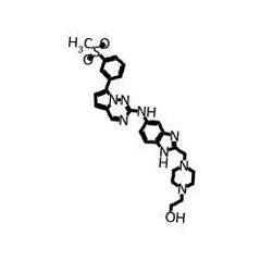 CS(=O)(=O)c1cccc(-c2ccc3cnc(Nc4ccc5[nH]c(CN6CCN(CCO)CC6)nc5c4)nn23)c1